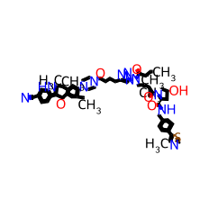 CCCC(=O)N(CC(C)(C)CC(=O)N1C[C@H](O)C[C@H]1C(=O)NCc1ccc(-c2scnc2C)cc1)n1cc(CCCC(=O)N2CCN(c3cc4c(cc3CC)C(=O)c3c([nH]c5cc(C#N)ccc35)C4(C)C)CC2)nn1